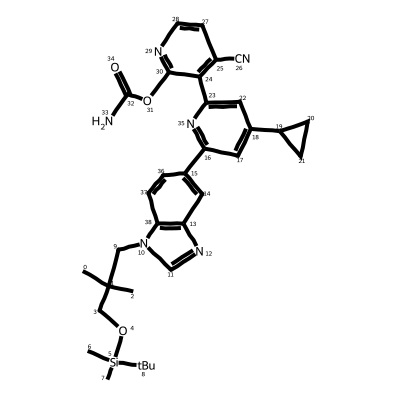 CC(C)(CO[Si](C)(C)C(C)(C)C)Cn1cnc2cc(-c3cc(C4CC4)cc(-c4c(C#N)ccnc4OC(N)=O)n3)ccc21